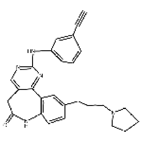 C#Cc1cccc(Nc2ncc3c(n2)-c2cc(CCCN4CCCC4)ccc2NC(=O)C3)c1